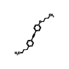 C=CCCc1ccc(C#Cc2ccc(OCCCC)cc2)cc1